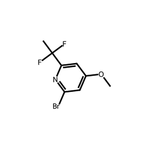 COc1cc(Br)nc(C(C)(F)F)c1